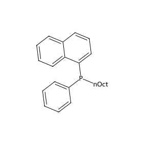 CCCCCCCCP(c1ccccc1)c1cccc2ccccc12